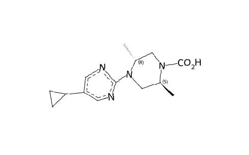 C[C@@H]1CN(C(=O)O)[C@@H](C)CN1c1ncc(C2CC2)cn1